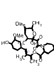 COC1CC(/C=C(\C)C(C)OC(=O)C2CCCCN2C(=O)C(=O)C2(O)OC(C)C(OC)CC2C)CCC1O